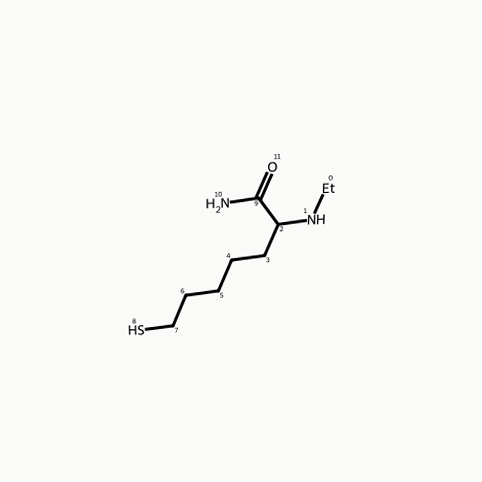 CCNC(CCCCCS)C(N)=O